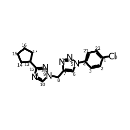 Clc1ccc(-n2cc(Cn3cnc(C4CCCC4)n3)nn2)cc1